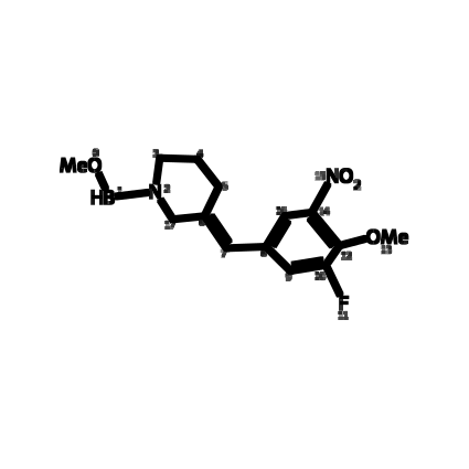 COBN1CCC/C(=C\c2cc(F)c(OC)c([N+](=O)[O-])c2)C1